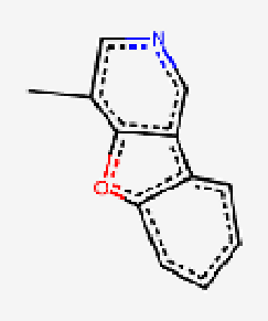 Cc1cncc2c1oc1ccccc12